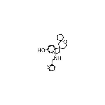 Oc1ccc(C2(CCNCc3cccs3)CCOC3(CCCC3)C2)nc1